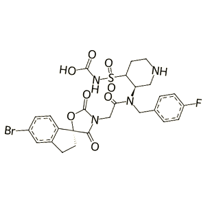 O=C(O)NS(=O)(=O)C1CCNC[C@H]1N(Cc1ccc(F)cc1)C(=O)CN1C(=O)O[C@@]2(CCc3cc(Br)ccc32)C1=O